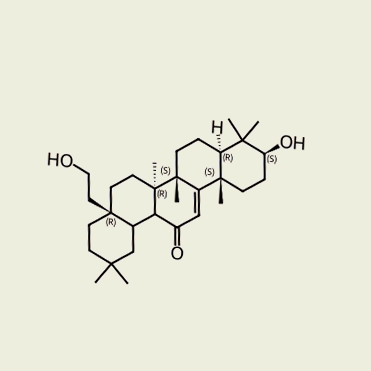 CC1(C)CC[C@]2(CCO)CC[C@]3(C)C(C(=O)C=C4[C@@]5(C)CC[C@H](O)C(C)(C)[C@@H]5CC[C@]43C)C2C1